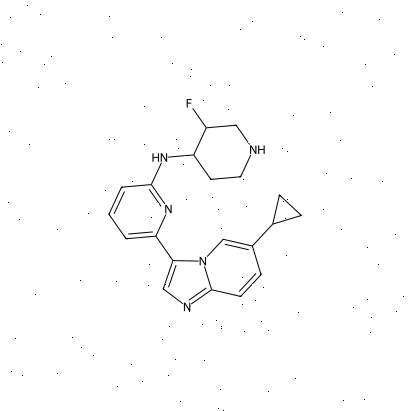 FC1CNCCC1Nc1cccc(-c2cnc3ccc(C4CC4)cn23)n1